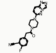 N#Cc1cc(CC(=O)N2CCN(c3ccc4nncn4n3)CC2)ccc1F